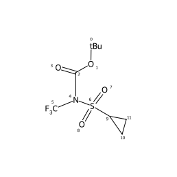 CC(C)(C)OC(=O)N(C(F)(F)F)S(=O)(=O)C1CC1